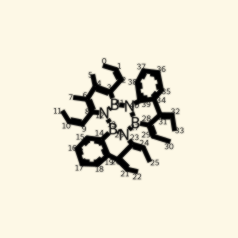 C/C=C\C1=C(C)C(C)=C(/C=C\C)N2B3c4ccccc4C(=C/C)/C(=C\C)N3B3C(=C/C)/C(=C\C)c4ccccc4N3B12